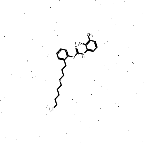 CCCCCCCCCCc1ccccc1OC(=O)Nc1cccc(C)c1C